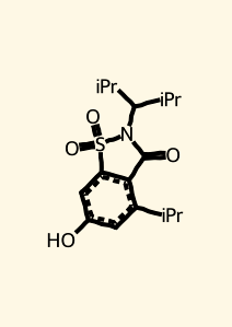 CC(C)c1cc(O)cc2c1C(=O)N(C(C(C)C)C(C)C)S2(=O)=O